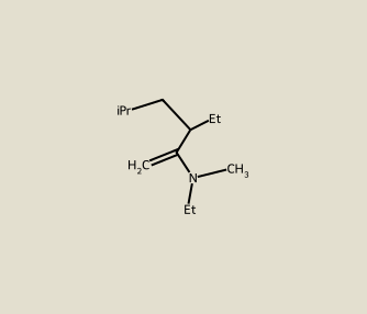 C=C(C(CC)CC(C)C)N(C)CC